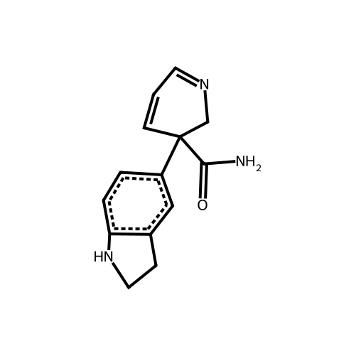 NC(=O)C1(c2ccc3c(c2)CCN3)C=CC=NC1